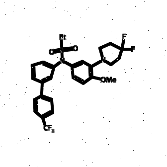 CCS(=O)(=O)N(c1cccc(-c2ccc(C(F)(F)F)cc2)c1)c1ccc(OC)c(N2CCC(F)(F)CC2)c1